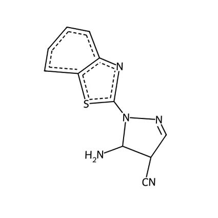 N#CC1C=NN(c2nc3ccccc3s2)C1N